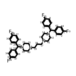 Fc1ccc(C(c2ccc(F)cc2)N2CCN(CCCN3CCN(C(c4ccc(F)cc4)c4ccc(F)cc4)CC3)CC2)cc1